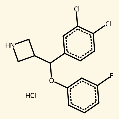 Cl.Fc1cccc(OC(c2ccc(Cl)c(Cl)c2)C2CNC2)c1